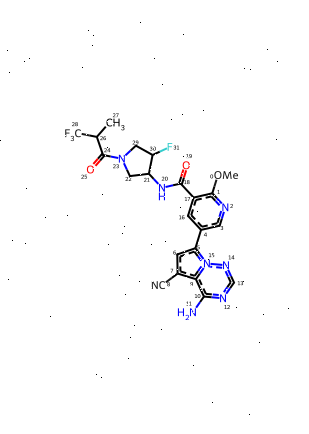 COc1ncc(-c2cc(C#N)c3c(N)ncnn23)cc1C(=O)NC1CN(C(=O)C(C)C(F)(F)F)CC1F